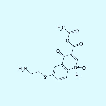 CC[N+]1([O-])C=C(C(=O)OC(=O)C(F)(F)F)C(=O)c2cc(SCCN)ccc21